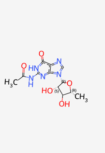 CC(=O)Nc1nc2c(ncn2[C@@H]2O[C@H](C)C(O)[C@@H]2O)c(=O)[nH]1